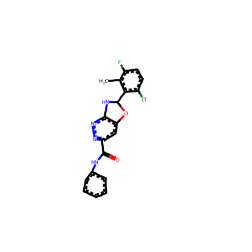 Cc1c(F)ccc(Cl)c1C1Nc2nnc(C(=O)Nc3ccccc3)cc2O1